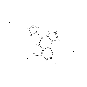 Cc1ccc(O[C@H](c2ncco2)C2CCNC2)c(Cl)c1